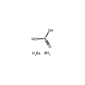 B.O=[Si](O)O.[BaH2]